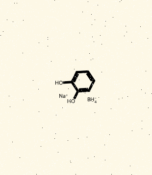 Oc1ccccc1O.[BH4-].[Na+]